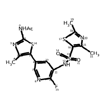 CC(=O)Nc1nc(C)c(-c2cnc(F)c(NS(=O)(=O)c3sc(C)nc3C)c2)s1